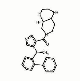 C[C@@H](c1ccccc1-c1ccccc1)n1cncc1C(=O)N1CCC2NCCO[C@@H]2C1